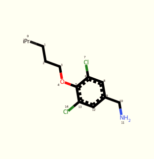 CC(C)CCCOc1c(Cl)cc(CN)cc1Cl